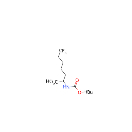 CC(C)(C)OC(=O)N[C@@H](CCCCC(F)(F)F)C(=O)O